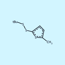 Cc1ccc(SSC(C)(C)C)s1